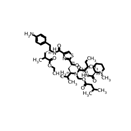 CCOC(=O)C(C)C[C@H](Cc1ccc(N)cc1)NC(=O)c1csc([C@@H](C[C@H](C(C)C)N(COC(=O)CC(C)C)C(=O)[C@@H](NC(=O)[C@H]2CCCCN2C)[C@@H](C)CC)OC)n1